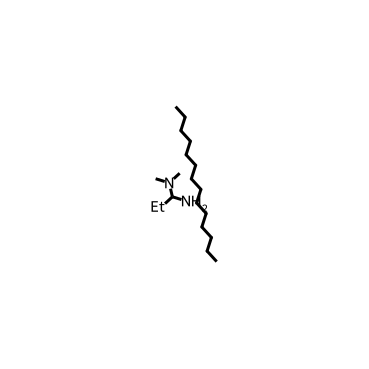 CCC(N)N(C)C.CCCCCCCCCCCCCC